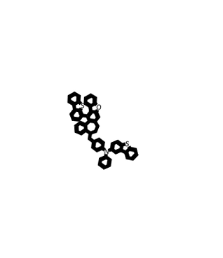 c1ccc(N(c2ccc(CC3CCc4cc5oc6ccccc6c5c(-c5cccc6c5sc5ccccc56)c4-c4ccccc43)cc2)c2ccc3sc4ccccc4c3c2)cc1